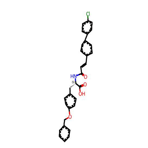 O=C(C=Cc1ccc(-c2ccc(Cl)cc2)cc1)N[C@@H](Cc1ccc(OCc2ccccc2)cc1)C(=O)O